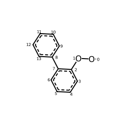 [O]Oc1ccccc1-c1ccccc1